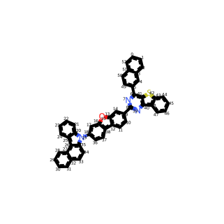 c1ccc2cc(-c3nc(-c4ccc5c(c4)oc4cc(-n6c7ccccc7c7c8ccccc8ccc76)ccc45)nc4c3sc3ccccc34)ccc2c1